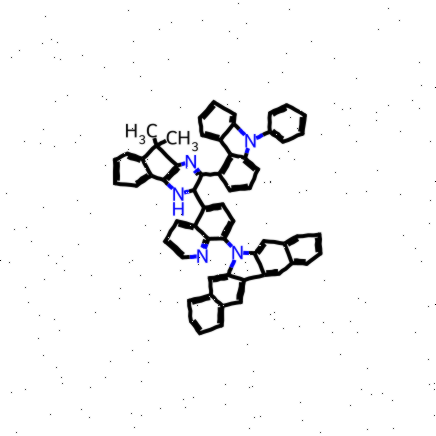 CC1(C)C2=C(NC(c3ccc(-n4c5cc6ccccc6cc5c5cc6ccccc6cc54)c4ncccc34)C(c3cccc4c3c3ccccc3n4-c3ccccc3)=N2)c2ccccc21